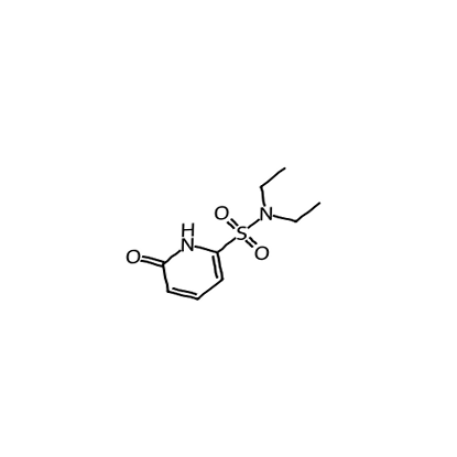 CCN(CC)S(=O)(=O)c1cccc(=O)[nH]1